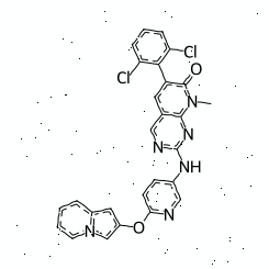 Cn1c(=O)c(-c2c(Cl)cccc2Cl)cc2cnc(Nc3ccc(Oc4cc5ccccn5c4)nc3)nc21